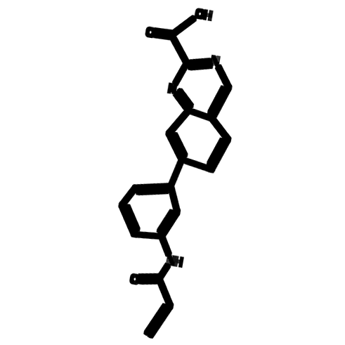 C=CC(=O)Nc1cccc(-c2ccc3cnc(C(=O)O)nc3c2)c1